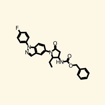 CCC1C(NC(=O)OCc2ccccc2)CC(=O)N1c1ccc2c(cnn2-c2ccc(F)cc2)c1